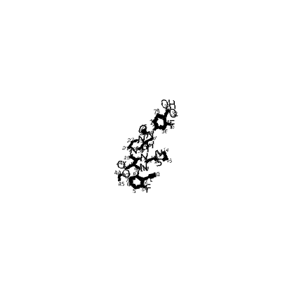 C#Cc1c(F)cccc1[C@@H]1N=C(c2nccs2)NC(CN2CCN3C(=O)N(c4ccc(C(=O)O)c(F)c4)C[C@@H]3C2)=C1C(=O)OCC